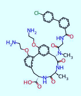 C[C@@H]1NC(=O)[C@@H](N(C)C(=O)CNC(=O)c2cccc(-c3ccc(Cl)cc3)c2)c2ccc(OCCN)c(c2)-c2cc(ccc2OCCN)C[C@@H](C(=O)O)NC1=O